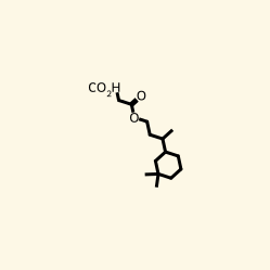 CC(CCOC(=O)CC(=O)O)C1CCCC(C)(C)C1